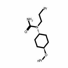 CCCO[C@H]1CC[C@H](N(CCC(C)C)C(N)=O)CC1